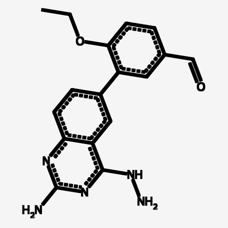 CCOc1ccc(C=O)cc1-c1ccc2nc(N)nc(NN)c2c1